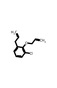 C=CCOc1c(Cl)cccc1CC=C